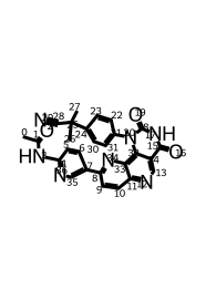 CC(=O)Nc1ccc(-c2ccc3ncc4c(=O)[nH]c(=O)n(-c5ccc(C(C)(C)C#N)cc5)c4c3n2)cn1